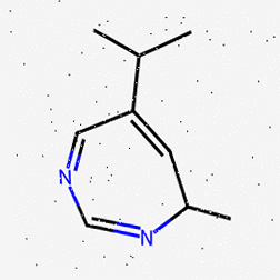 CC1C=C(C(C)C)C=NC=N1